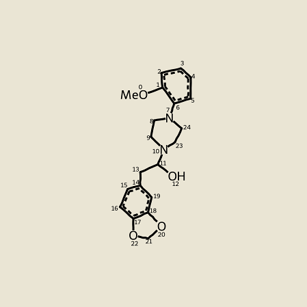 COc1ccccc1N1CCN(C(O)Cc2ccc3c(c2)OCO3)CC1